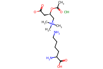 CC(=O)O[C@H](CC(=O)[O-])C[N+](C)(C)C.Cl.NCCCCC(N)C(=O)O